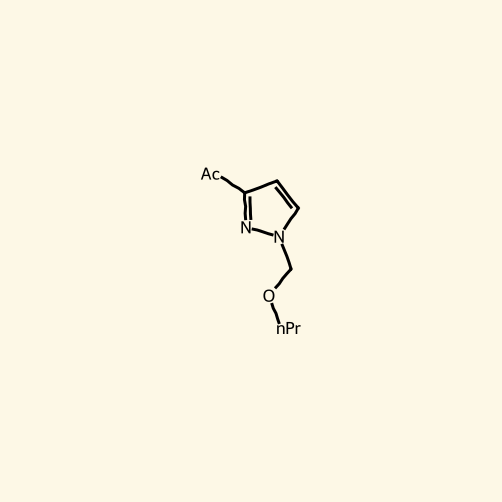 CCCOCn1ccc(C(C)=O)n1